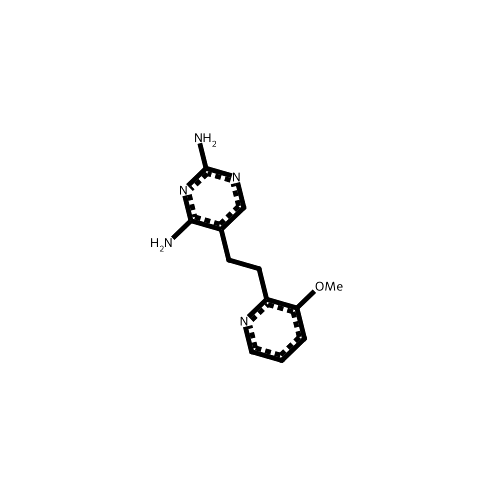 COc1cccnc1CCc1cnc(N)nc1N